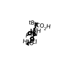 CC(C)(C)N(CCCNc1nc2ccc(F)cc2n2c(-c3ccc(C(=O)NC4CC4)c(Cl)c3)cnc12)C(=O)O